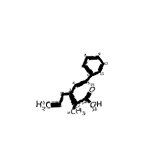 C=CCC(C=Cc1ccccc1)=C(C)C(=O)O